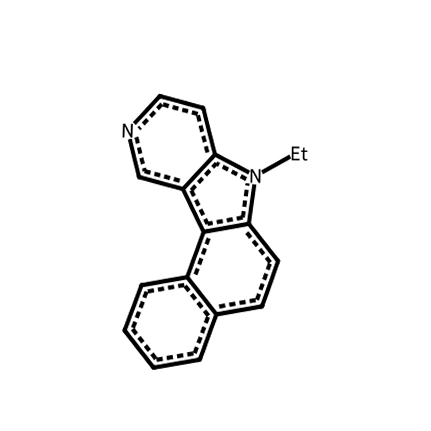 CCn1c2ccncc2c2c3ccccc3ccc21